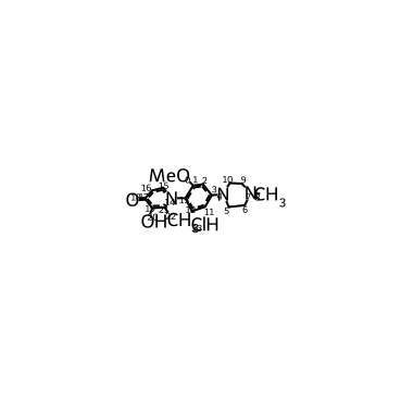 COc1cc(N2CCN(C)CC2)ccc1-n1ccc(=O)c(O)c1C.Cl